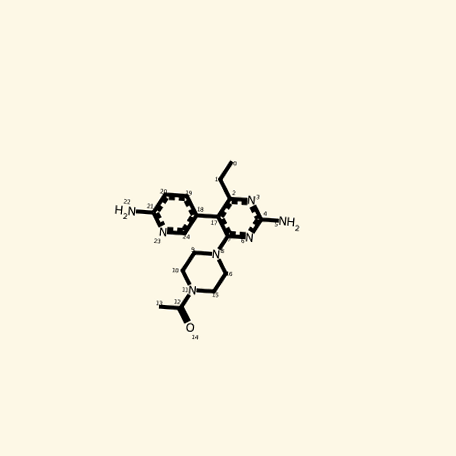 CCc1nc(N)nc(N2CCN(C(C)=O)CC2)c1-c1ccc(N)nc1